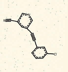 N#Cc1cncc(C#Cc2cccc(Cl)c2)c1